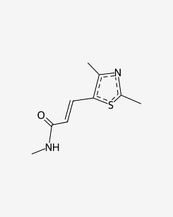 CNC(=O)C=Cc1sc(C)nc1C